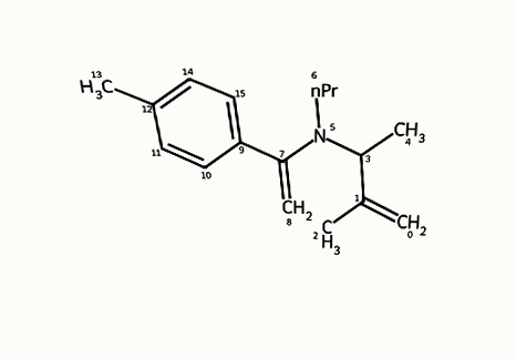 C=C(C)C(C)N(CCC)C(=C)c1ccc(C)cc1